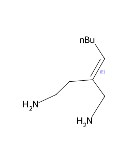 CCCC/C=C(/CN)CCN